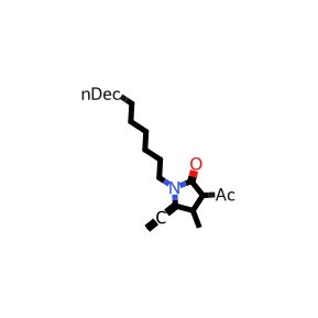 C=C=C1C(C)C(C(C)=O)C(=O)N1CCCCCCCCCCCCCCCC